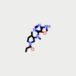 CCC(=O)N1CCC(C)C(N(C)c2ncnc3c2OCN3)C1